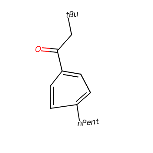 CCCCCc1ccc(C(=O)CC(C)(C)C)cc1